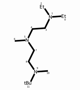 CCN(CC)CCN(C)CCN(C)C(C)(C)C